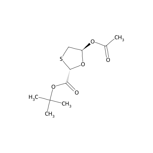 CC(=O)O[C@@H]1CS[C@@H](C(=O)OC(C)(C)C)O1